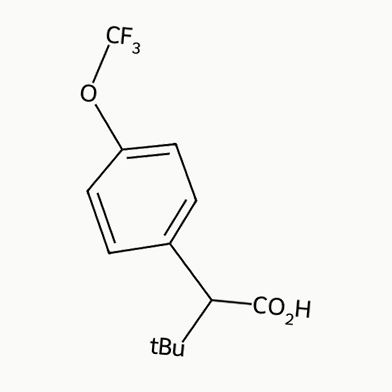 CC(C)(C)C(C(=O)O)c1ccc(OC(F)(F)F)cc1